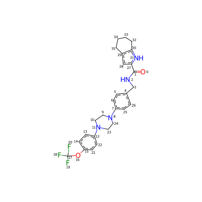 O=C(NCc1ccc(N2CCN(c3ccc(OC(F)(F)F)cc3)CC2)cc1)c1cc2c([nH]1)CCCC2